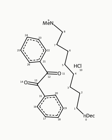 CCCCCCCCCCCCCCCCCCNC.Cl.O=C(C(=O)c1ccccc1)c1ccccc1